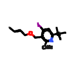 C/C=C/COCc1c(I)cc([Si](C)(C)C)nc1OC